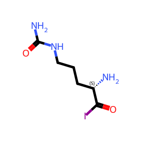 NC(=O)NCCC[C@H](N)C(=O)I